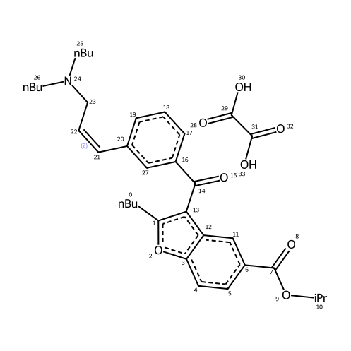 CCCCc1oc2ccc(C(=O)OC(C)C)cc2c1C(=O)c1cccc(/C=C\CN(CCCC)CCCC)c1.O=C(O)C(=O)O